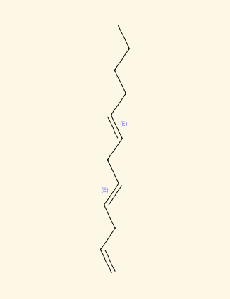 C=CC/C=C/C/C=C/CCCC